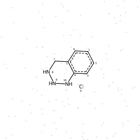 [C].c1ccc2c(c1)CNNN2